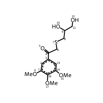 COc1cc(C(=O)CSCC(O)CO)cc(OC)c1OC